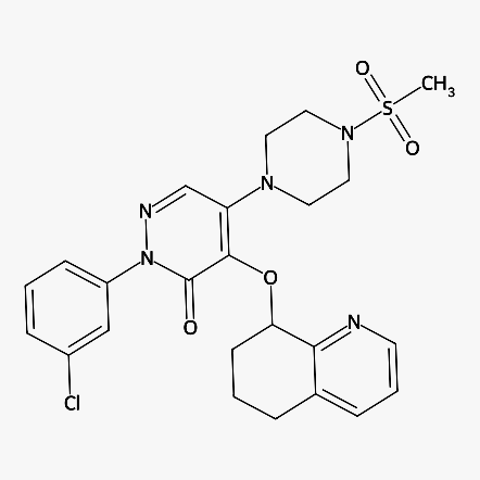 CS(=O)(=O)N1CCN(c2cnn(-c3cccc(Cl)c3)c(=O)c2OC2CCCc3cccnc32)CC1